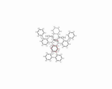 O=C(C(c1cccc(-c2ccccc2)c1)c1cccc(-c2ccccc2)c1)N(O)C1CCCCC1N(O)C(=O)C(c1cccc(-c2ccccc2)c1)c1cccc(-c2ccccc2)c1